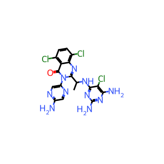 CC(Nc1nc(N)nc(N)c1Cl)c1nc2c(Cl)ccc(Cl)c2c(=O)n1-c1cnc(N)cn1